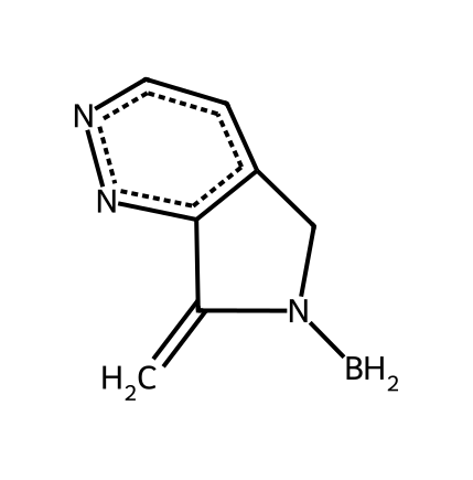 BN1Cc2ccnnc2C1=C